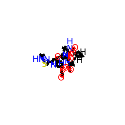 CC[C@@H]1C[C@]1(NC(=O)[C@@H]1C[C@@H](Oc2cc(-c3csc(NC(C)C)n3)nc3cc(OCC=O)ccc23)CN1C(=O)[C@@H](NC(=O)O[C@@H]1C[C@@H]2C[C@@H]2C1)C(C)(C)C)C(=O)OC